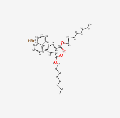 Br.CCCCCCCCOC(=O)c1ccccc1C(=O)OCCCCCCCC.c1ccc2ccccc2c1